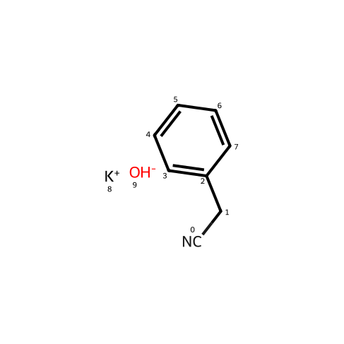 N#CCc1ccccc1.[K+].[OH-]